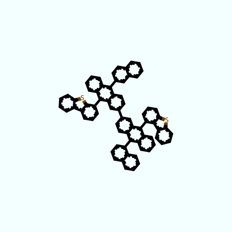 c1ccc2cc(-c3c4ccccc4c(-c4cccc5c4sc4ccccc45)c4cc(-c5ccc6c(-c7cccc8ccccc78)c7ccccc7c(-c7cccc8sc9ccccc9c78)c6c5)ccc34)ccc2c1